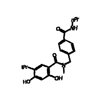 CCCNC(=O)c1ccc(CN(C)C(=O)c2cc(C(C)C)c(O)cc2O)cc1